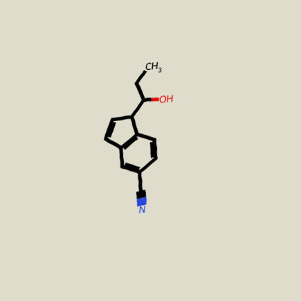 CCC(O)C1C=Cc2cc(C#N)ccc21